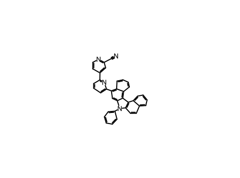 N#Cc1cc(-c2cccc(-c3cc4c(c5ccccc35)c3c5ccccc5ccc3n4-c3ccccc3)n2)ccn1